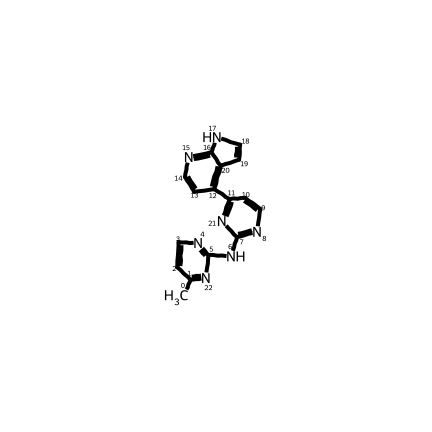 Cc1ccnc(Nc2nccc(-c3ccnc4[nH]ccc34)n2)n1